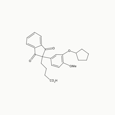 COc1ccc(C2(CCCC(=O)O)C(=O)c3ccccc3C2=O)cc1OC1CCCC1